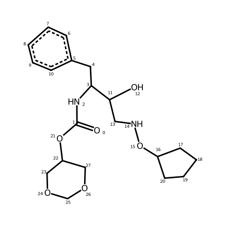 O=C(NC(Cc1ccccc1)C(O)CNOC1CCCC1)OC1COCOC1